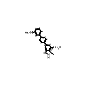 CC(=O)Nc1cccc(-c2ccc(-c3cc4c(c(C(=O)O)c3)N(C)NN4)cc2)c1